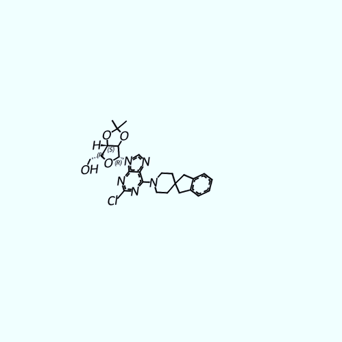 CC1(C)OC2[C@@H](O1)[C@@H](CO)O[C@H]2n1cnc2c(N3CCC4(CC3)Cc3ccccc3C4)nc(Cl)nc21